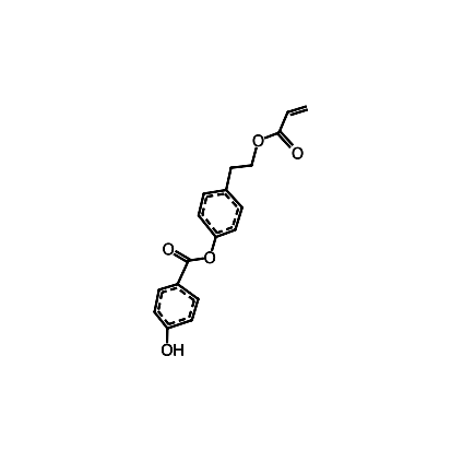 C=CC(=O)OCCc1ccc(OC(=O)c2ccc(O)cc2)cc1